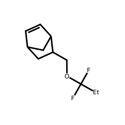 CCC(F)(F)OCC1CC2C=CC1C2